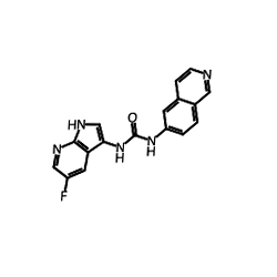 O=C(Nc1ccc2cnccc2c1)Nc1c[nH]c2ncc(F)cc12